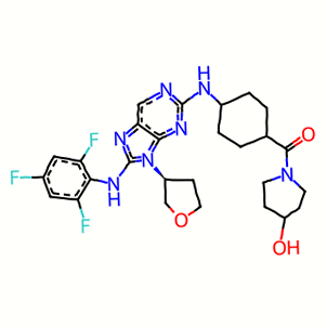 O=C(C1CCC(Nc2ncc3nc(Nc4c(F)cc(F)cc4F)n([C@H]4CCOC4)c3n2)CC1)N1CCC(O)CC1